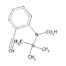 C#Cc1ccccc1N(C(=O)O)[Si](C)(C)C